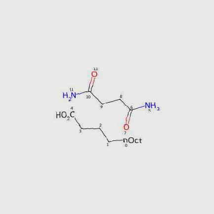 CCCCCCCCCCCC(=O)O.NC(=O)CCC(N)=O